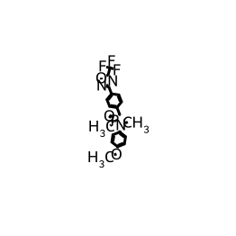 COc1ccc(N(C)P(C)(=O)Cc2ccc(-c3noc(C(F)(F)F)n3)cc2)cc1